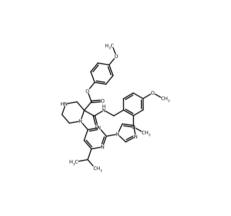 COc1ccc(OC(=O)C2(C(=O)NCc3ccc(OC)cc3OC)CNCCN2c2cc(C(C)C)nc(-n3ccnc3)n2)cc1